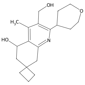 Cc1c(CO)c(C2CCOCC2)nc2c1C(O)CC1(CCC1)C2